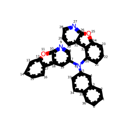 c1ccc2cc(N(c3cnc4oc5ccccc5c4c3)c3cccc4oc5ncccc5c34)ccc2c1